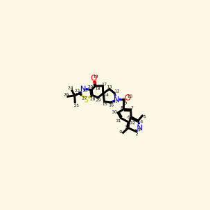 Cc1cnc(C)c2cc(C(=O)N3CCC4(CC3)CC(=O)c3nc(C(C)(C)C)sc3C4)ccc12